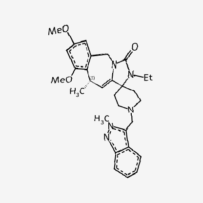 CCN1C(=O)N2Cc3cc(OC)cc(OC)c3[C@@H](C)C=C2C12CCN(Cc1c3ccccc3nn1C)CC2